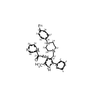 Cc1[nH]c(-c2ccccc2)c(CN2CCN(c3ccc(F)cc3)CC2)c1NC(=O)c1cnccn1